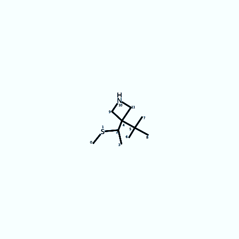 CSC(C)C1(C(C)(C)C)CNC1